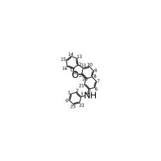 c1ccc(Nc2ccc3ccc4c5ccccc5oc4c3c2)cc1